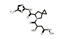 CCCCC(CC(=O)NO)C(=O)N1CC2(CC2)CC1C(=O)Nc1nc(C(F)(F)F)cs1